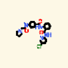 CN(C(=O)CN1CCCC1)c1ccc(C(=O)Nc2ccccc2C(=O)Nc2ccc(Cl)cn2)cc1